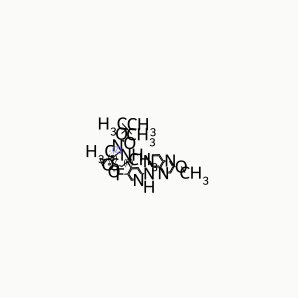 COc1cnc2c(Nc3cc([C@]4(C)CS(=O)(=O)[C@@](C)(C5CC5)/C(=N/C(=O)OC(C)(C)C)N4)c(F)cn3)nccc2n1